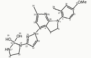 COc1ccc(N2CCc3c(-n4ccc(N5CCNS5(O)O)n4)cc(C)nc32)c(C)c1